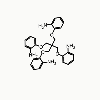 Nc1ccccc1OCC(COc1ccccc1N)(COc1ccccc1N)COc1ccccc1N